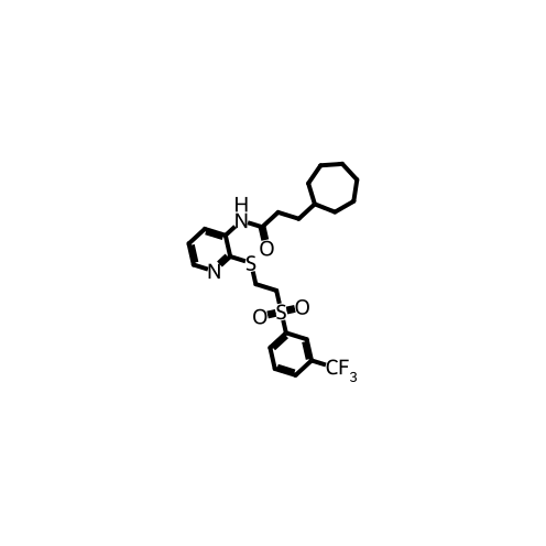 O=C(CCC1CCCCCC1)Nc1cccnc1SCCS(=O)(=O)c1cccc(C(F)(F)F)c1